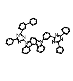 c1ccc(-c2cccc(-c3nc(-c4ccccc4)nc(-n4c5ccccc5c5c6c7ccccc7n(-c7cccc(-c8nc(-c9ccccc9)nc(-c9ccccc9)n8)c7)c6ccc54)n3)c2)cc1